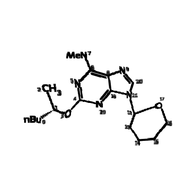 CCCC[C@H](C)Oc1nc(NC)c2ncn(C3CCCCO3)c2n1